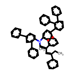 CC/C(=C\C(=C(/C)N(c1ccc(-c2cccc(-c3ccccc3)c2-c2ccccc2)cc1)c1ccc(-c2ccccc2)cc1-c1ccccc1)c1ccccc1)c1ccccc1